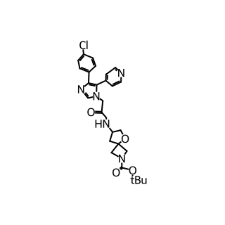 CC(C)(C)OC(=O)N1CC2(CC(NCC(=O)Cn3cnc(-c4ccc(Cl)cc4)c3-c3ccncc3)CO2)C1